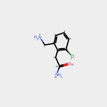 NCc1cccc(Cl)c1CC(N)=O